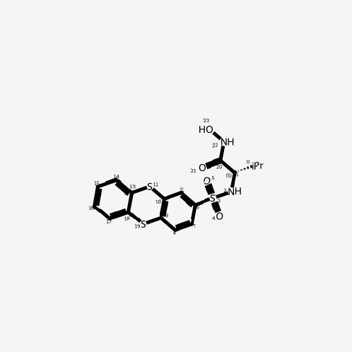 CC(C)[C@H](NS(=O)(=O)c1ccc2c(c1)Sc1ccccc1S2)C(=O)NO